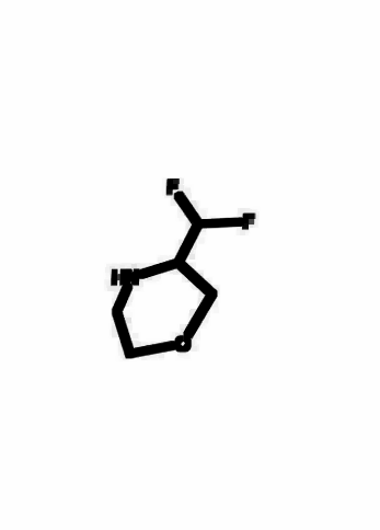 FC(F)C1COCCN1